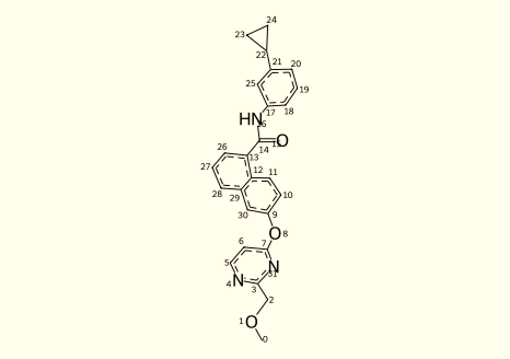 COCc1nccc(Oc2ccc3c(C(=O)Nc4cccc(C5CC5)c4)cccc3c2)n1